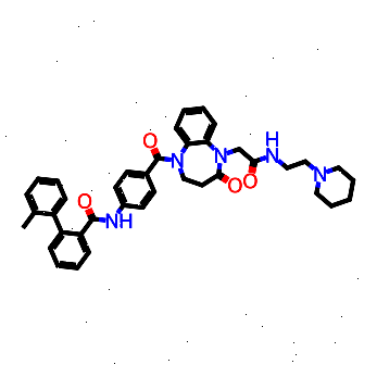 Cc1ccccc1-c1ccccc1C(=O)Nc1ccc(C(=O)N2CCC(=O)N(CC(=O)NCCN3CCCCC3)c3ccccc32)cc1